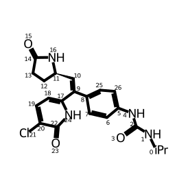 CC(C)NC(=O)Nc1ccc(C(=C[C@H]2CCC(=O)N2)c2ccc(Cl)c(=O)[nH]2)cc1